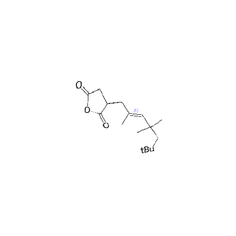 C/C(=C\C(C)(C)CC(C)(C)C)CC1CC(=O)OC1=O